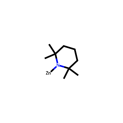 CC1(C)CCCC(C)(C)[N]1[Zn]